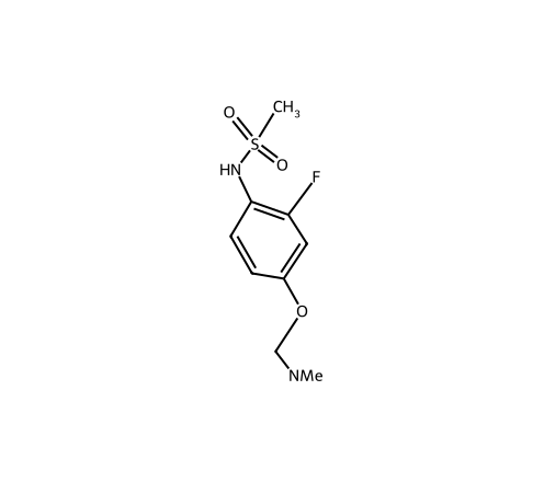 CNCOc1ccc(NS(C)(=O)=O)c(F)c1